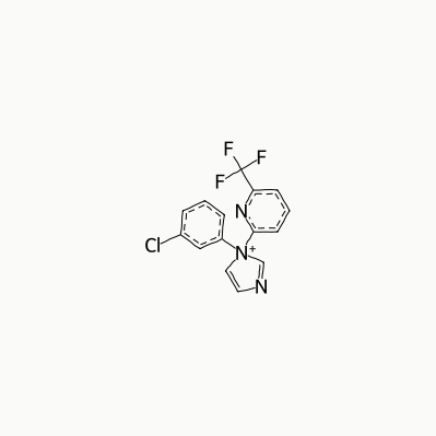 FC(F)(F)c1cccc([N+]2(c3cccc(Cl)c3)C=CN=C2)n1